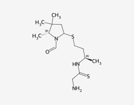 C[C@H](CCSC1CC(C)(C)[C@@H](C)N1C=O)NC(=S)CN